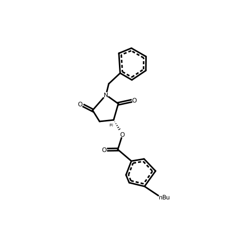 CCCCc1ccc(C(=O)O[C@@H]2CC(=O)N(Cc3ccccc3)C2=O)cc1